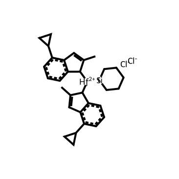 CC1=Cc2c(C3CC3)cccc2[CH]1[Hf+2]([CH]1C(C)=Cc2c(C3CC3)cccc21)=[Si]1CCCCC1.[Cl-].[Cl-]